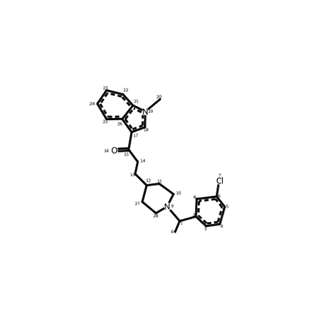 CC(c1cccc(Cl)c1)N1CCC(CCC(=O)c2cn(C)c3ccccc23)CC1